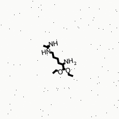 CCOC(OCC)C(N)CCCCNC(C)=N